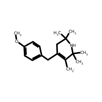 [CH2]C1=C(Cc2ccc(OC)cc2)CC(C)(C)NC1(C)C